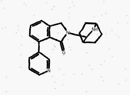 O=C1c2c(cccc2-c2cccnc2)CN1C1NC2CCC1CC2